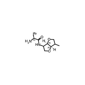 CC(C)[C@H](N)C(=O)NC1CO[C@@H]2C(C)CO[C@H]12